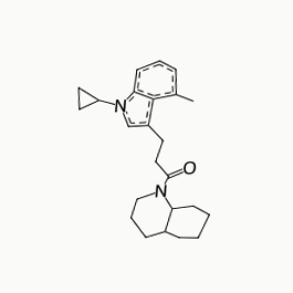 Cc1cccc2c1c(CCC(=O)N1CCCC3CCCCC31)cn2C1CC1